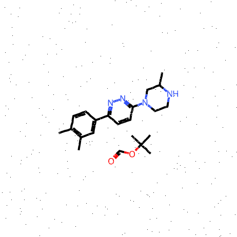 CC(C)(C)OC=O.Cc1ccc(-c2ccc(N3CCNC(C)C3)nn2)cc1C